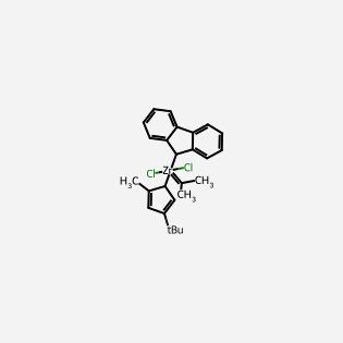 CC1=CC(C(C)(C)C)=C[CH]1[Zr]([Cl])([Cl])(=[C](C)C)[CH]1c2ccccc2-c2ccccc21